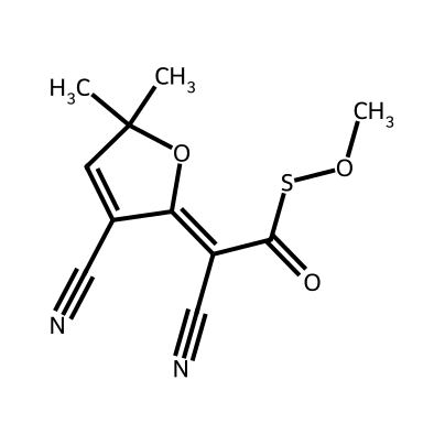 COSC(=O)/C(C#N)=C1\OC(C)(C)C=C1C#N